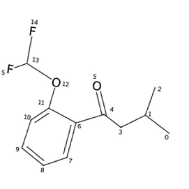 CC(C)CC(=O)c1ccccc1OC(F)F